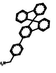 NCc1ccc(-c2ccc3c(c2)-c2ccccc2C32c3ccccc3-c3ccccc32)cc1